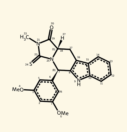 COc1cc(OC)cc([C@@H]2c3[nH]c4ccccc4c3C[C@H]3C(=O)N(C)C(=S)N23)c1